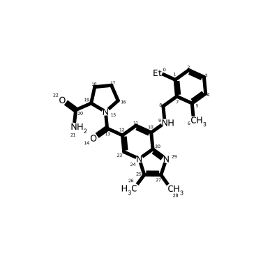 CCc1cccc(C)c1CNc1cc(C(=O)N2CCCC2C(N)=O)cn2c(C)c(C)nc12